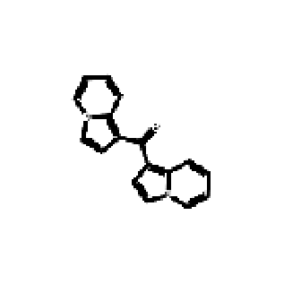 O=C(c1ccn2ccccc12)c1ccn2ccccc12